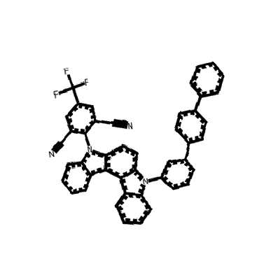 N#Cc1cc(C(F)(F)F)cc(C#N)c1-n1c2ccccc2c2c3c4ccccc4n(-c4cccc(-c5ccc(-c6ccccc6)cc5)c4)c3ccc21